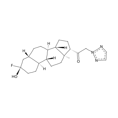 C[C@]12CC[C@H]3[C@@H](CC[C@H]4C[C@@](O)(F)CC[C@@H]43)[C@@H]1CC[C@@H]2C(=O)Cn1nccn1